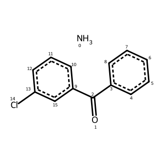 N.O=C(c1ccccc1)c1cccc(Cl)c1